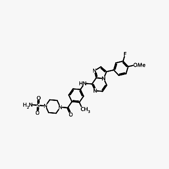 COc1ccc(-c2cnc3c(Nc4ccc(C(=O)N5CCN(S(N)(=O)=O)CC5)c(C)c4)nccn23)cc1F